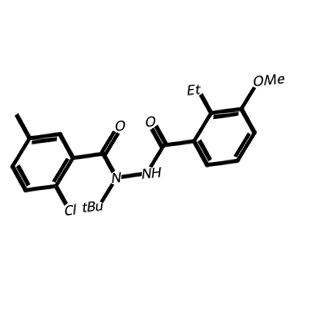 CCc1c(OC)cccc1C(=O)NN(C(=O)c1cc(C)ccc1Cl)C(C)(C)C